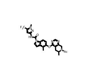 CC(=O)N1Cc2ncnc(Oc3ccc4c(ccn4C(=O)Nc4cc(C(F)(F)F)n(C)n4)c3C)c2CC1C